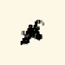 CCCC[C@H]1C(=O)N(Cc2ccccc2)C[C@H]2N1C(=O)CN(C)N2C(=O)NCc1ccc(F)cc1